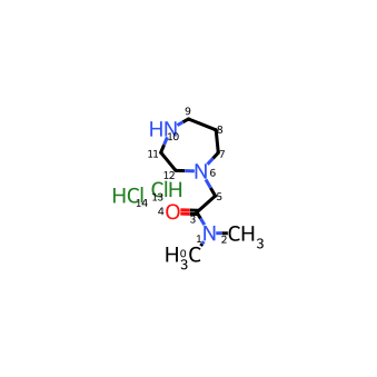 CN(C)C(=O)CN1CCCNCC1.Cl.Cl